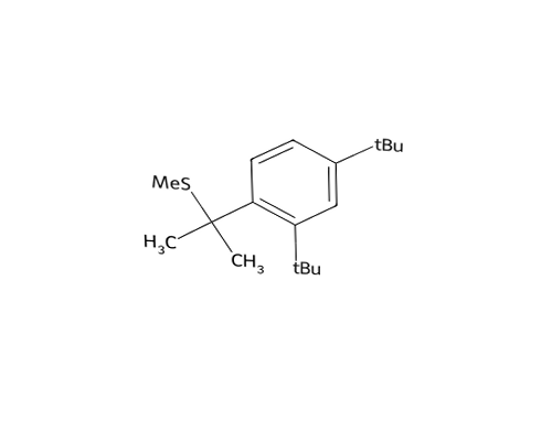 CSC(C)(C)c1ccc(C(C)(C)C)cc1C(C)(C)C